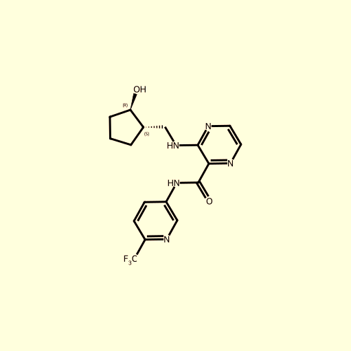 O=C(Nc1ccc(C(F)(F)F)nc1)c1nccnc1NC[C@@H]1CCC[C@H]1O